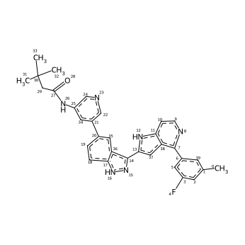 Cc1cc(F)cc(-c2nccc3[nH]c(-c4n[nH]c5ccc(-c6cncc(NC(=O)CC(C)(C)C)c6)cc45)cc23)c1